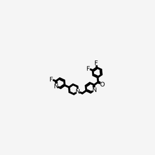 O=C(c1ccc(F)c(F)c1)c1ccc(CN2CCC(c3ccc(F)nc3)CC2)cn1